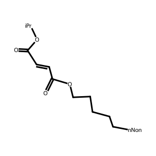 CCCCCCCCCCCCCCOC(=O)C=CC(=O)OC(C)C